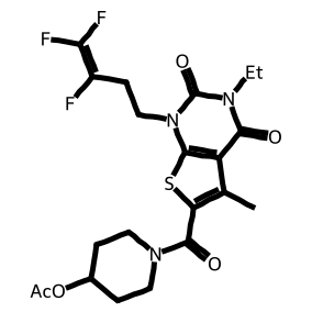 CCn1c(=O)c2c(C)c(C(=O)N3CCC(OC(C)=O)CC3)sc2n(CCC(F)=C(F)F)c1=O